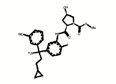 CC(C)(C)OC(=O)N1C[C@H](O)C[C@@H]1C(=O)Nc1cc(C(N)(CCC2CC2)c2cccc(C#N)c2)ccc1F